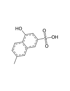 Cc1ccc2c(O)cc(S(=O)(=O)O)cc2c1